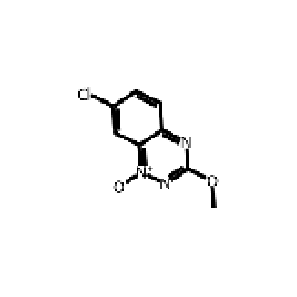 COc1nc2ccc(Cl)cc2[n+]([O-])n1